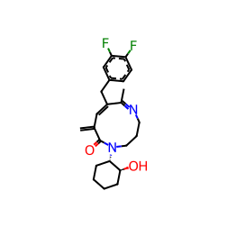 C=C1/C=C(Cc2ccc(F)c(F)c2)\C(C)=N/CCCN([C@H]2CCCC[C@@H]2O)C1=O